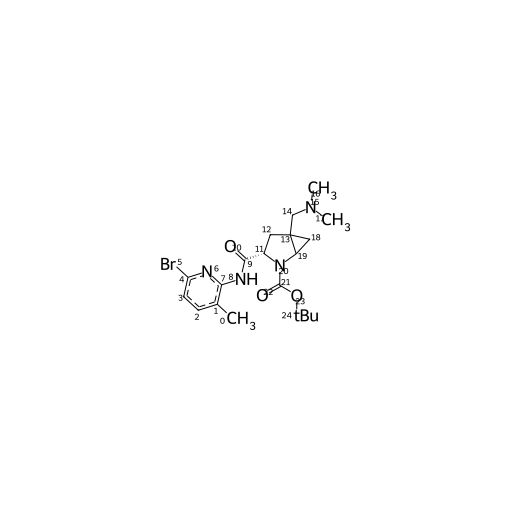 Cc1ccc(Br)nc1NC(=O)[C@@H]1CC2(CN(C)C)CC2N1C(=O)OC(C)(C)C